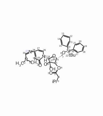 CC(C)CC(=O)OC1[C@@H](CO[Si](c2ccccc2)(c2ccccc2)C(C)(C)C)O[C@@H](n2ccc(/N=C\N(C)C)nc2=O)C1(C)O